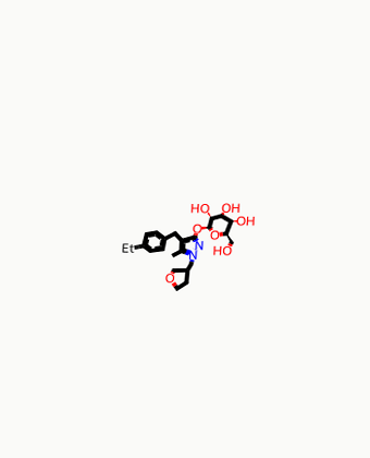 CCc1ccc(Cc2c(O[C@@H]3O[C@H](CO)[C@@H](O)[C@H](O)[C@H]3O)nn(CC3CCOC3)c2C)cc1